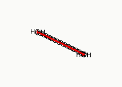 O=C(O)NCCOCCOCCOCCOCCOCCOCCOCCOCCOCCOCCOCCOCCOCCOCCOCCOCCOCCOCCOCCOCCOCCOCCOCCOP(=O)(O)O